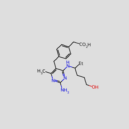 CCC(CCCO)Nc1nc(N)nc(C)c1Cc1ccc(CC(=O)O)cc1